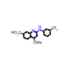 COc1cc(Nc2cccc(C(F)(F)F)c2)nc2cc(C(=O)O)ccc12